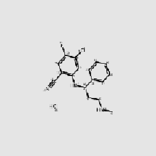 CNCC[C@@H](Nc1cc(Cl)c(F)cc1C#N)c1ccccc1.Cl